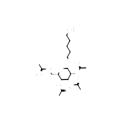 CC(=O)OC[C@H]1O[C@H](SCCCCCO)[C@@H](OC(C)=O)[C@@H](OC(C)=O)[C@@H]1OC(C)=O